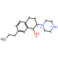 CCCc1ccc2c(c1)C(O)C(N1CCNCC1)CC2